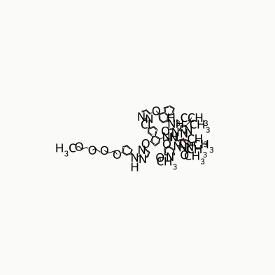 COCCOCCOCCOc1cccc(Nc2nccc(Oc3ccc(NC(=O)N(c4cc(C(C)(C)C)nn4-c4ccc(OC)nc4)N(C(=O)Nc4ccc(Oc5ccnc(Cl)n5)c5ccccc45)c4cc(C(C)(C)C)nn4-c4ccc(OC)nc4)c4ccccc34)n2)c1